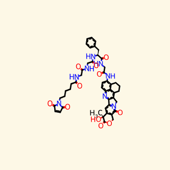 C[C@@]1(O)C(=O)OCc2c1cc1n(c2=O)Cc2c-1nc1ccc(NC(=O)CNC(=O)[C@H](Cc3ccccc3)NC(=O)CNC(=O)CNC(=O)CCCCCN3C(=O)C=CC3=O)c3c1c2CCC3